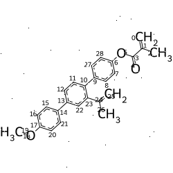 C=C(C)C(=O)Oc1ccc(-c2ccc(-c3ccc(OC)cc3)cc2C(=C)C)cc1